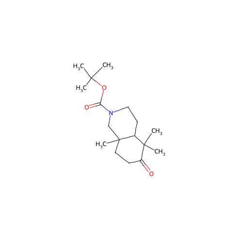 CC(C)(C)OC(=O)N1CCC2C(C)(CCC(=O)C2(C)C)C1